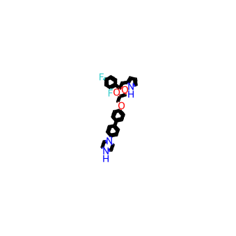 Fc1ccc(C2(Cc3ccc[nH]3)OCC(COc3ccc(-c4ccc(N5CCNCC5)cc4)cc3)O2)c(F)c1